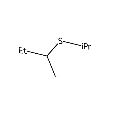 [CH2]C(CC)SC(C)C